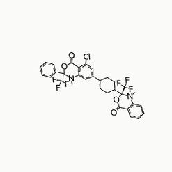 CN1c2cc(C3CCC([C@@]4(C(F)(F)F)OC(=O)c5ccccc5N4C)CC3)cc(Cl)c2C(=O)O[C@@]1(c1ccccc1)C(F)(F)F